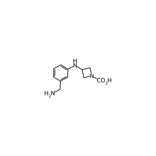 NCc1cccc(NC2CN(C(=O)O)C2)c1